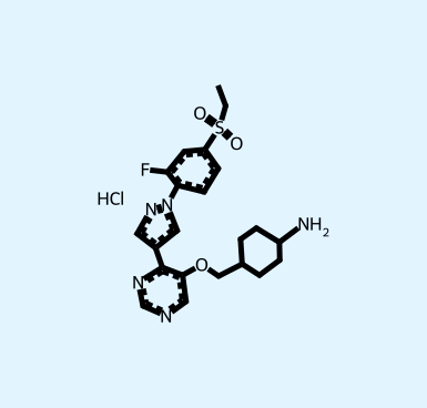 CCS(=O)(=O)c1ccc(-n2cc(-c3ncncc3OCC3CCC(N)CC3)cn2)c(F)c1.Cl